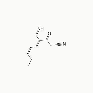 CC/C=C\C=C(/C=N)C(=O)CC#N